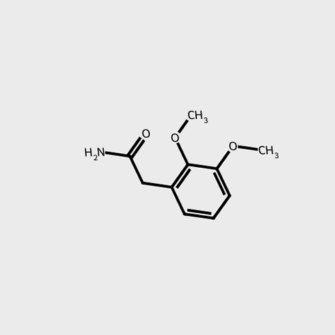 COc1cccc(CC(N)=O)c1OC